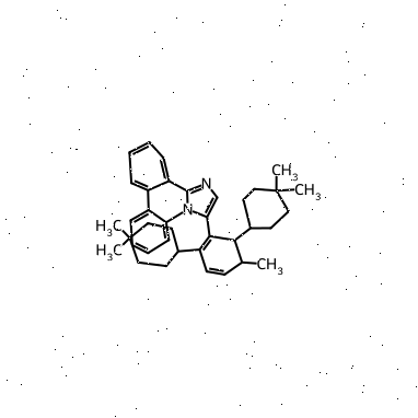 CC1C=CC(C2CCC(C)(C)CC2)=C(c2cnc3c4ccccc4c4ccccc4n23)C1C1CCC(C)(C)CC1